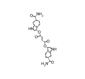 NC(=O)c1ccc2c(OC(=O)/C=C/C(=O)Oc3c[nH]c4cc(C(N)=O)ccc34)c[nH]c2c1